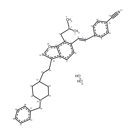 CN(C)Cc1c(/C=C/c2ccc(C#N)cc2)ccc2c(CCC3CCN(Cc4ccccc4)CC3)noc12.Cl.Cl